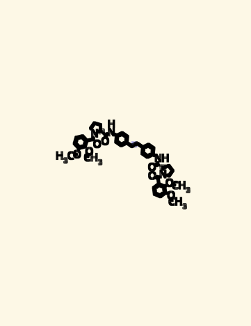 COc1cccc(C(=O)N2CCC[C@H]2C(=O)Nc2ccc(/C=C/c3ccc(NC(=O)[C@@H]4CCCN4C(=O)c4cccc(OC)c4OC)cc3)cc2)c1OC